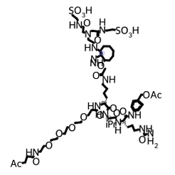 CC(=O)CCC(=O)NCCOCCOCCOCCOCCC(=O)N[C@H](CCCCNC(=O)COC1CCCCC/C(NCCN(CC(=O)NCCS(=O)(=O)O)CC(=O)NCCS(=O)(=O)O)=C\1N=N)C(=O)N[C@H](C(=O)N[C@@H](CCCNC(N)=O)C(=O)Nc1ccc(COC(C)=O)cc1)C(C)C